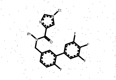 CCn1cnc(C(=O)N(Cc2ccc(F)c(-c3cc(F)c(F)c(F)c3)c2)C(C)C)c1